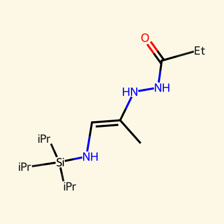 CCC(=O)NN/C(C)=C/N[Si](C(C)C)(C(C)C)C(C)C